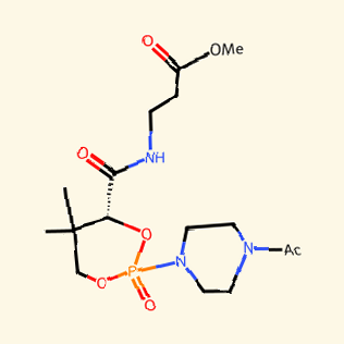 COC(=O)CCNC(=O)[C@@H]1OP(=O)(N2CCN(C(C)=O)CC2)OCC1(C)C